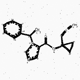 C=C=CC1(OC(=O)c2cncn2C(C)c2ccccc2)CC1